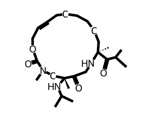 CC(C)N[C@]1(C)CN(C)C(=O)OC/C=C/CCCCCC[C@@](C)(C(=O)C(C)C)NCC1=O